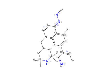 C=N/N=C(\C=C/CCC1CC(C)(C)NC(C)(C)C1)c1ccc(/C(C=N)=C/C)cc1C